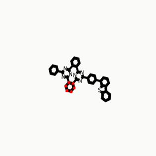 c1ccc(-c2nc(-c3ccccc3)nc(-c3ccccc3-c3nc(-c4ccccc4)nc(-c4ccc(-c5cccc6c5sc5ccccc56)cc4)n3)n2)cc1